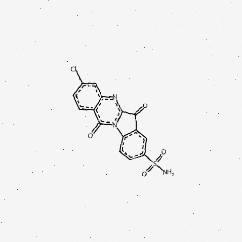 NS(=O)(=O)c1ccc2c(c1)C(=O)c1nc3cc(Cl)ccc3c(=O)n1-2